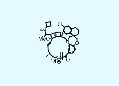 CO[C@@]1(CC(=O)N(C)C2CCC2)/C=C/C[C@H](C)[C@@H](C)S(=O)(=O)NC(=O)c2ccc3c(c2)N(C[C@@H]2CC[C@H]21)C[C@@]1(CCCc2cc(Cl)ccc21)CO3